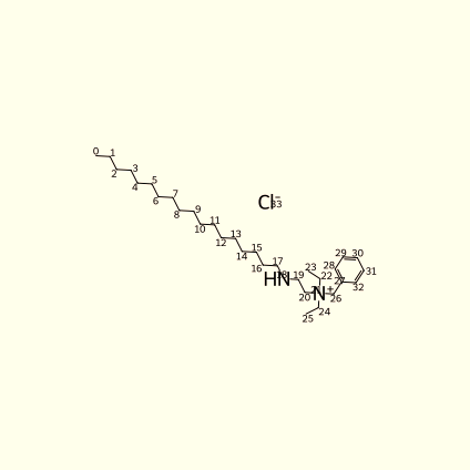 CCCCCCCCCCCCCCCCCCNCC[N+](CC)(CC)Cc1ccccc1.[Cl-]